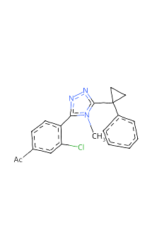 CC(=O)c1ccc(-c2nnc(C3(c4ccccc4)CC3)n2C)c(Cl)c1